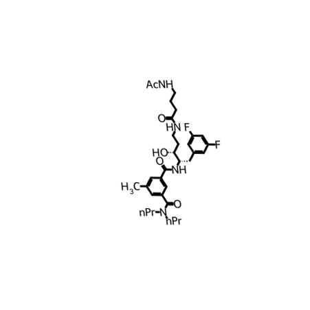 CCCN(CCC)C(=O)c1cc(C)cc(C(=O)N[C@@H](Cc2cc(F)cc(F)c2)[C@H](O)CCNC(=O)CCCNC(C)=O)c1